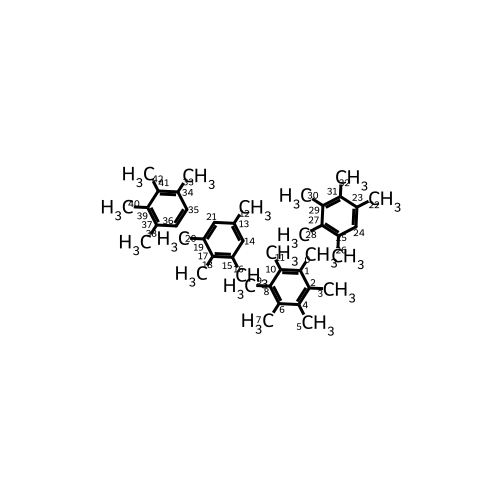 Cc1c(C)c(C)c(C)c(C)c1C.Cc1cc(C)c(C)c(C)c1.Cc1cc(C)c(C)c(C)c1C.Cc1ccc(C)c(C)c1C